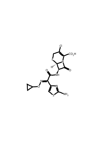 Nc1nc(/C(=N\OC2CC2)C(=O)N[C@@H]2C(=O)N3C(C(=O)O)=C(Cl)CS[C@H]23)cs1